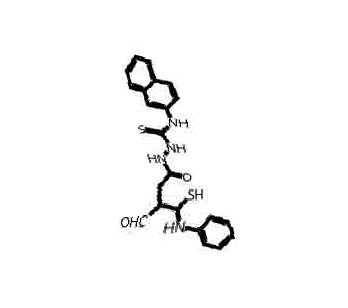 O=CC(CC(=O)NNC(=S)Nc1ccc2ccccc2c1)C(S)Nc1ccccc1